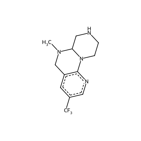 CN1Cc2cc(C(F)(F)F)cnc2N2CCNCC12